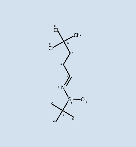 CC(C)(C)[S+]([O-])/N=C/CCC(Cl)(Cl)Cl